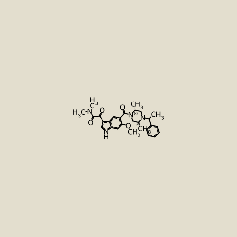 COc1cc2[nH]cc(C(=O)C(=O)N(C)C)c2cc1C(=O)N1C[C@H](C)N(C(C)c2ccccc2)C[C@H]1C